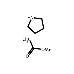 C1CCNC1.COC(=O)C(Cl)(Cl)Cl